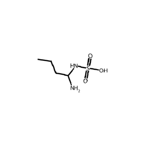 CCCC(N)NS(=O)(=O)O